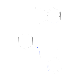 Cc1cccnc1CN[C@H]1CCCC[C@@H]1NCc1ncccc1C(F)(F)F